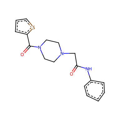 O=C(CN1CCN(C(=O)c2cccs2)CC1)Nc1ccccc1